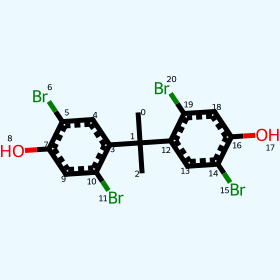 CC(C)(c1cc(Br)c(O)cc1Br)c1cc(Br)c(O)cc1Br